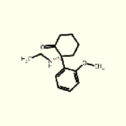 CCN[C@@]1(c2ccccc2OC)CCCCC1=O